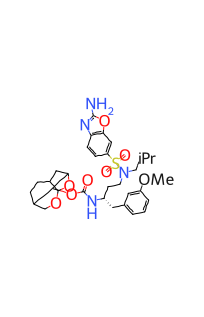 COc1cccc(C[C@@H](CCN(CC(C)C)S(=O)(=O)c2ccc3nc(N)oc3c2)NC(=O)OC2C3CCC4CC2OC4OC3)c1